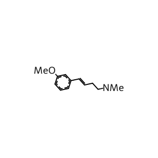 CNCCC=Cc1cccc(OC)c1